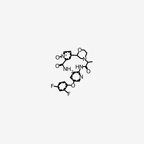 CC(C(=O)Nc1ccc(Oc2ccc(F)cc2F)cn1)N1CCOC(c2cc[n+]([O-])c(C(N)=O)c2)C1